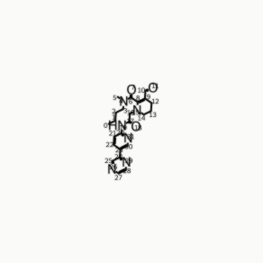 CCCCN(C)C(=O)C1=C(C=O)CCCN1CC(=O)Nc1ccc(-c2cnccn2)cn1